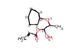 C=CC(=O)O[C](O)C(C)OC1CCCCC1